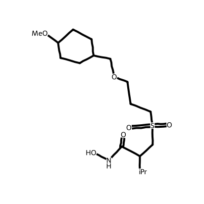 COC1CCC(COCCCS(=O)(=O)CC(C(=O)NO)C(C)C)CC1